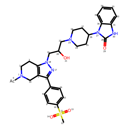 CC(=O)N1CCc2c(c(-c3ccc(S(C)(=O)=O)cc3)nn2CC(O)CN2CCC(n3c(=O)[nH]c4ccccc43)CC2)C1